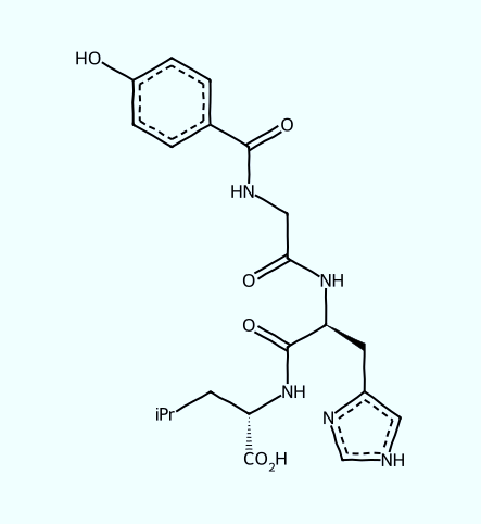 CC(C)C[C@H](NC(=O)[C@H](Cc1c[nH]cn1)NC(=O)CNC(=O)c1ccc(O)cc1)C(=O)O